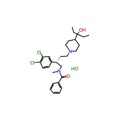 CCC(O)(CC)C1CCN(CC[C@H](CN(C)C(=O)c2ccccc2)c2ccc(Cl)c(Cl)c2)CC1.Cl